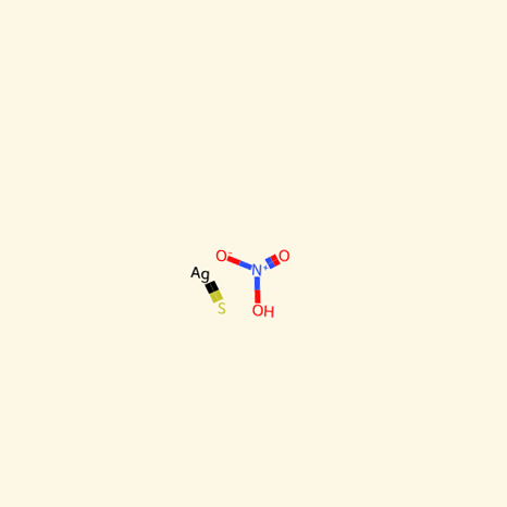 O=[N+]([O-])O.[S]=[Ag]